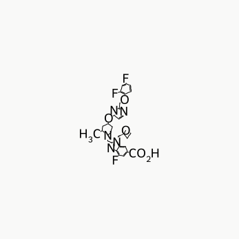 C[C@H]1C[C@@H](Oc2ccnc(COc3ccc(F)cc3F)n2)CCN1Cc1nc2c(F)cc(C(=O)O)cc2n1C[C@@H]1CCO1